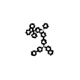 c1ccc(-c2ccc(N(c3ccc(-c4ccc5c(c4)c4cc(C6(c7ccccc7)c7ccccc7-c7ccccc76)ccc4n5-c4ccccc4)cc3)c3ccc4ccccc4c3)cc2)cc1